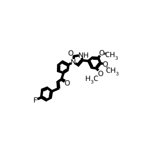 COc1cc(-c2cn(-c3cccc(C(=O)C=Cc4ccc(F)cc4)c3)c(=O)[nH]2)cc(OC)c1OC